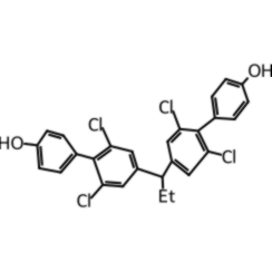 CCC(c1cc(Cl)c(-c2ccc(O)cc2)c(Cl)c1)c1cc(Cl)c(-c2ccc(O)cc2)c(Cl)c1